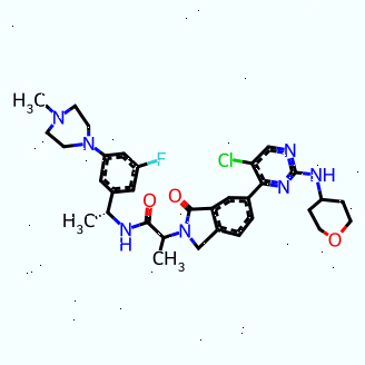 CC(C(=O)N[C@H](C)c1cc(F)cc(N2CCN(C)CC2)c1)N1Cc2ccc(-c3nc(NC4CCOCC4)ncc3Cl)cc2C1=O